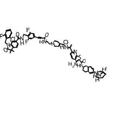 CC(NC(=O)C1CCN(CCNC(=O)C#Cc2cc(F)c(CNC(=O)c3ccc4c(c3)N(Cc3c(F)cccc3Cl)C(=O)C4(C)C)c(F)c2)CC1)c1ccc2c(N)c(C(=O)N[C@H]3CCc4cc(N5C[C@H]6CC[C@@H](C5)N6)ccc4C3)sc2n1